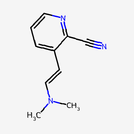 CN(C)/C=C/c1cccnc1C#N